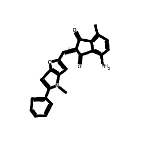 Cc1ccc(P)c2c1C(=O)/C(=C/c1cc3c(cc(-c4ccccc4)n3C)o1)C2=O